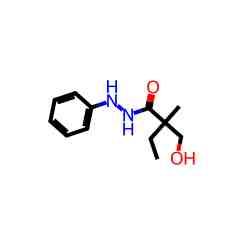 CCC(C)(CO)C(=O)NNc1ccccc1